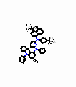 Cc1cc2c3c(c1)N(c1ccccc1)c1nc(N(c4ccc(C(C)(C)C)cc4)c4ccc(C(C)(C)C)c5ccccc45)ccc1B3c1ccccc1N2c1ccccc1